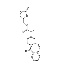 CCC(C(=O)OCC1COC(=O)O1)c1ccc2c(=O)c3ccccc3ccc2c1